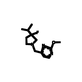 COc1nccc(CN2CCC(F)(C(C)C)C2)n1